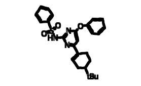 CC(C)(C)C1CC=C(c2cc(Oc3ccccc3)nc(NS(=O)(=O)c3ccccc3)n2)CC1